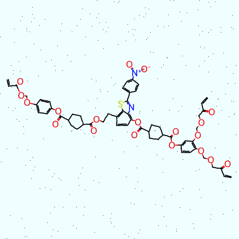 C=CC(=O)COCOc1ccc(OC(=O)C2CCC(C(=O)Oc3ccc(CCOC(=O)C4CCC(C(=O)Oc5ccc(OCOC(=O)C=C)cc5)CC4)c4sc(-c5ccc([N+](=O)[O-])cc5)nc34)CC2)cc1OCOCC(=O)C=C